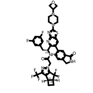 O=C(Cn1nc(C(F)(F)F)c2c1C(F)(F)[C@@H]1CC[C@H]21)N[C@@H](Cc1cc(F)cc(F)c1)c1nc2nc(N3CCN(C4COC4)CC3)sc2cc1-c1ccc2c(c1)C(=O)NC2